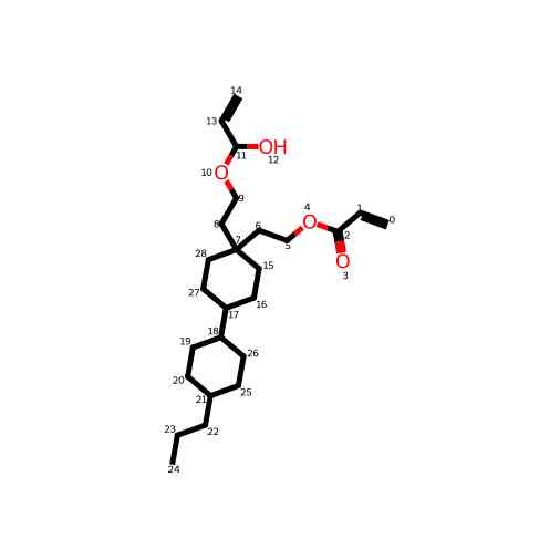 C=CC(=O)OCCC1(CCOC(O)C=C)CCC(C2CCC(CCC)CC2)CC1